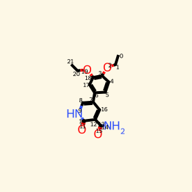 CCOc1ccc(-c2c[nH]c(=O)c(C(N)=O)c2)cc1OCC